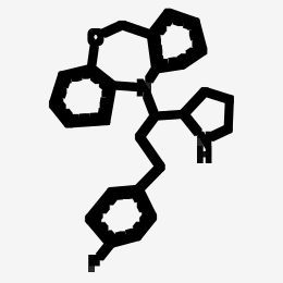 Fc1ccc(CCC(C2CCCN2)N2c3ccccc3COc3ccccc32)cc1